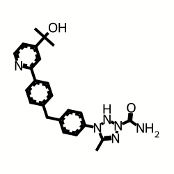 CC1=NN(C(N)=O)NN1c1ccc(Cc2ccc(-c3cc(C(C)(C)O)ccn3)cc2)cc1